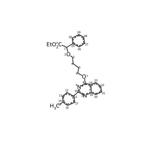 CCOC(=O)C(OCCCCOc1nc(-c2ccc(C)cc2)nc2ccccc12)c1ccccc1